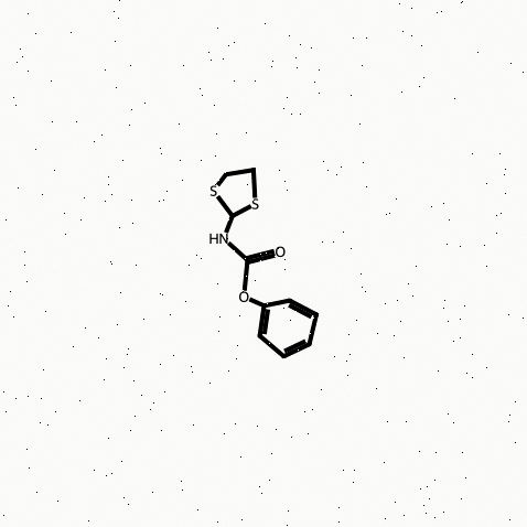 O=C(NC1SCCS1)Oc1ccccc1